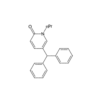 CCCn1cc(C(c2ccccc2)c2ccccc2)ccc1=O